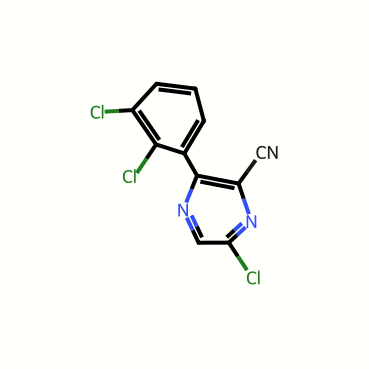 N#Cc1nc(Cl)cnc1-c1cccc(Cl)c1Cl